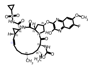 CC[C@@H]1C[C@H](C)CC/C=C\[C@@H]2C[C@@]2(C(=O)NS(=O)(=O)C2CC2)NC(=O)[C@@H]2C[C@@H](Oc3nc4cc(OC)c(F)cc4nc3O)CN2C(=O)[C@H]1NC(=O)O